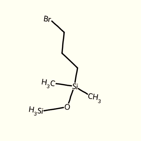 C[Si](C)(CCCBr)O[SiH3]